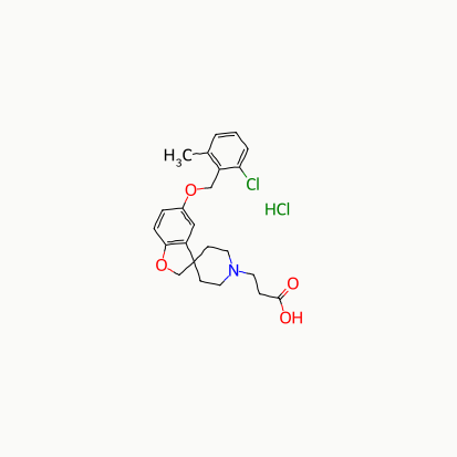 Cc1cccc(Cl)c1COc1ccc2c(c1)C1(CCN(CCC(=O)O)CC1)CO2.Cl